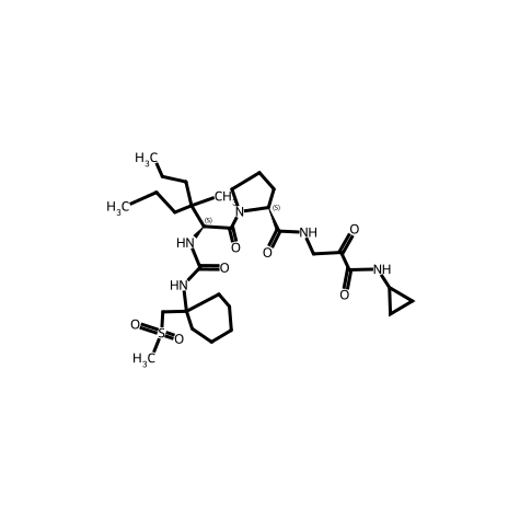 CCCC(C)(CCC)[C@H](NC(=O)NC1(CS(C)(=O)=O)CCCCC1)C(=O)N1CCC[C@H]1C(=O)NCC(=O)C(=O)NC1CC1